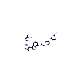 CCCNc1nccc(O[C@H]2CCN(CC(=O)Nc3cccc4c(-c5nc(Nc6cc(C)n(C)n6)ncc5C)c[nH]c34)C2)n1